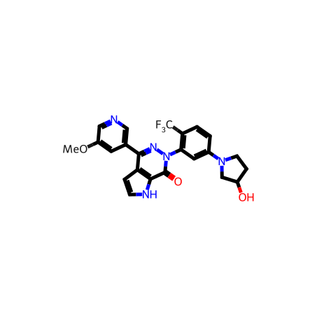 COc1cncc(-c2nn(-c3cc(N4CCC(O)C4)ccc3C(F)(F)F)c(=O)c3[nH]ccc23)c1